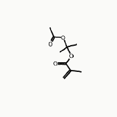 C=C(C)C(=O)OC(C)(C)OC(C)=O